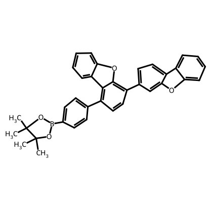 CC1(C)OB(c2ccc(-c3ccc(-c4ccc5c(c4)oc4ccccc45)c4oc5ccccc5c34)cc2)OC1(C)C